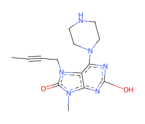 CC#CCn1c(=O)n(C)c2nc(O)nc(N3CCNCC3)c21